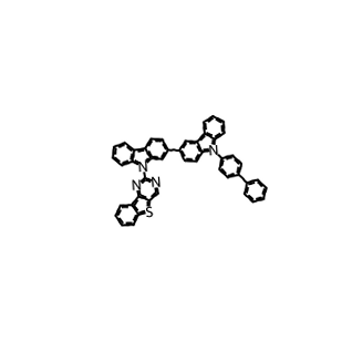 c1ccc(-c2ccc(-n3c4ccccc4c4cc(-c5ccc6c7ccccc7n(-c7ncc8sc9ccccc9c8n7)c6c5)ccc43)cc2)cc1